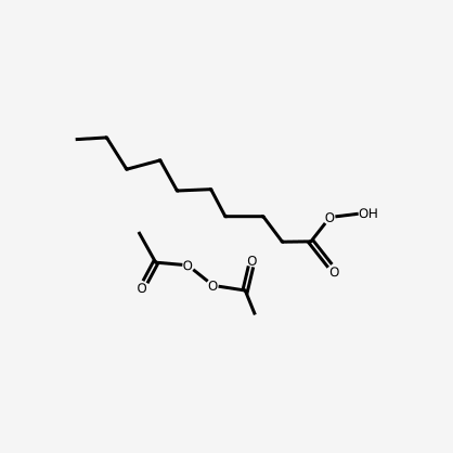 CC(=O)OOC(C)=O.CCCCCCCCCC(=O)OO